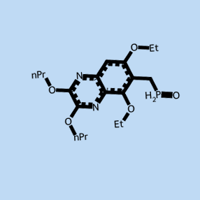 CCCOc1nc2cc(OCC)c(C[PH2]=O)c(OCC)c2nc1OCCC